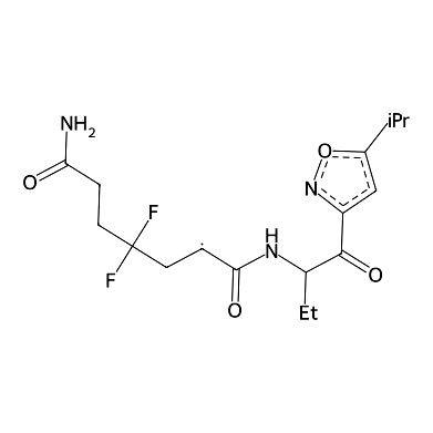 CCC(NC(=O)[CH]CC(F)(F)CCC(N)=O)C(=O)c1cc(C(C)C)on1